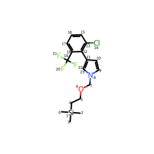 C[Si](C)(C)CCOCn1ccc(-c2c(Cl)cccc2C(F)(F)F)c1